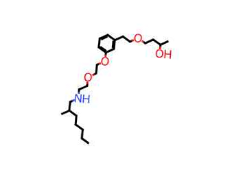 CCCCCC(C)CNCCOCCOc1cccc(CCOCCC(C)O)c1